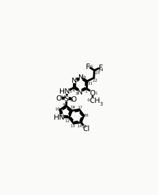 COc1nc(NS(=O)(=O)c2c[nH]c3cc(Cl)ccc23)nnc1CC(F)F